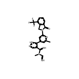 Cc1cc(-c2[nH]ncc2C(=N)N(C)C=N)cc(N2Cc3c(cccc3C(F)(F)F)C2=O)n1